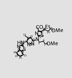 CCOC(=O)c1nc(N(CCCOC)c2cc(C)c(Nc3nc4ccccc4s3)nn2)sc1CCCOC